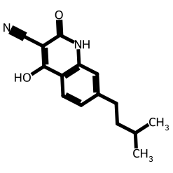 CC(C)CCc1ccc2c(O)c(C#N)c(=O)[nH]c2c1